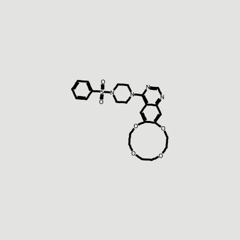 O=S(=O)(c1ccccc1)N1CCN(c2ncnc3cc4c(cc23)OCCOCCOCCO4)CC1